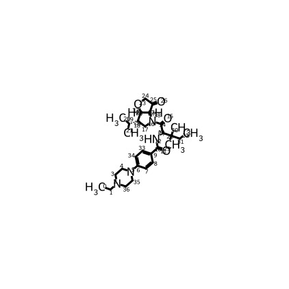 CCN1CCN(c2ccc(C(=O)N[C@H](C(=O)N3C[C@H](C(C)C)[C@H]4OCC(=O)[C@H]43)C(C)(C)CC)cc2)CC1